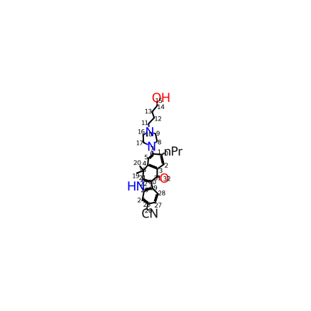 CCCc1cc2c(cc1N1CCN(CCCCO)CC1)C(C)(C)c1[nH]c3cc(C#N)ccc3c1C2=O